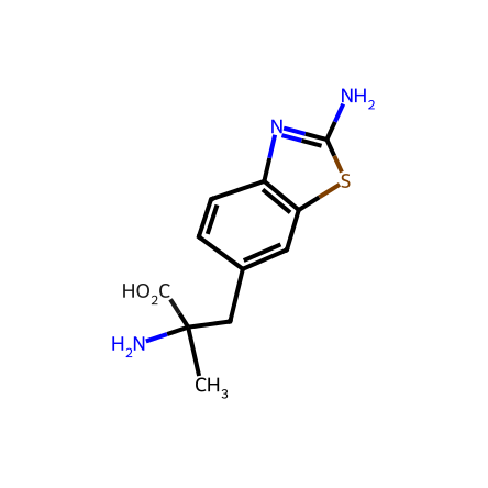 CC(N)(Cc1ccc2nc(N)sc2c1)C(=O)O